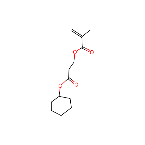 C=C(C)C(=O)OCCC(=O)OC1CCCCC1